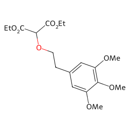 CCOC(=O)C(OCCc1cc(OC)c(OC)c(OC)c1)C(=O)OCC